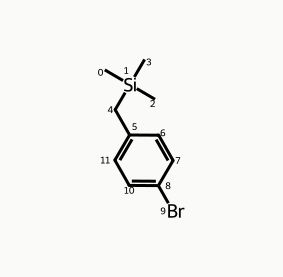 C[Si](C)(C)Cc1ccc(Br)cc1